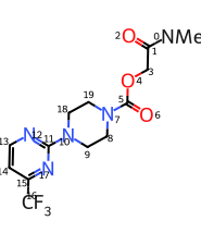 CNC(=O)COC(=O)N1CCN(c2nccc(C(F)(F)F)n2)CC1